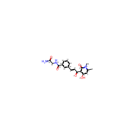 Cc1cc(O)c(C(=O)C=Cc2cccc(C(=O)NCC(N)=O)c2)c(=O)n1C